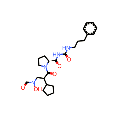 O=CN(O)CC(C(=O)N1CCC[C@H]1C(=O)NC(=O)NCCCc1ccccc1)C1CCCC1